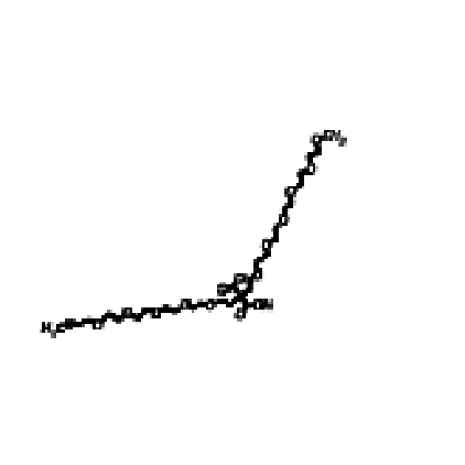 COCCOCCOCCOCCOCCOCCC(CCOCCOCCOCCOCCOCCOC)(C(=O)O)C(=O)O